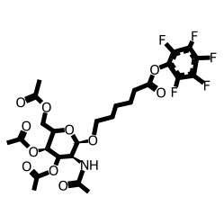 CC(=O)N[C@H]1C(OC(C)=O)[C@@H](OC(C)=O)C(COC(C)=O)O[C@H]1OCCCCCC(=O)Oc1c(F)c(F)c(F)c(F)c1F